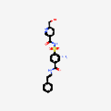 N.O=C(NC=Cc1ccccc1)c1ccc(S(=O)(=O)NC(=O)c2ccc(CO)nc2)cc1